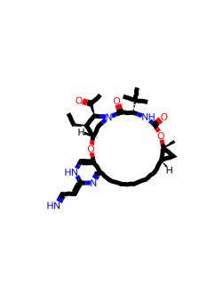 CC[C@@H]1[C@@H]2CN(C(=O)[C@H](C(C)(C)C)NC(=O)O[C@]3(C)C[C@H]3CCCCCC3=N/C(=C/C=N)NC=C3O2)[C@@H]1C(C)=O